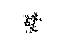 CC(N)Cc1ccccc1.[2H]OC(=O)C(N)CCCCNC(=N)N